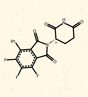 CC(C)c1c(F)c(F)c(F)c2c1C(=O)N([C@H]1CCC(=O)NC1=O)C2=O